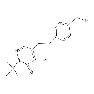 CC(C)(C)n1ncc(CCc2ccc(CBr)cc2)c(Cl)c1=O